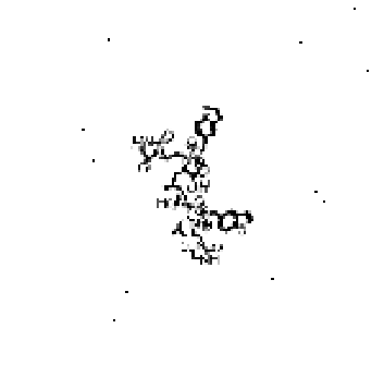 CC(C)C[C@H](C(=O)N(O)CC(C)C[C@H](C(=O)O)N(CCN1C(=O)CNC1=O)S(=O)(=O)Cc1ccc2sccc2c1)N(CCN1C(=O)CNC1=O)S(=O)(=O)Cc1ccc2sccc2c1